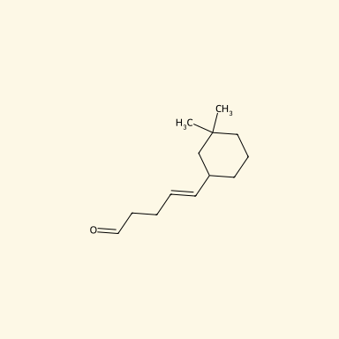 CC1(C)CCCC(C=CCCC=O)C1